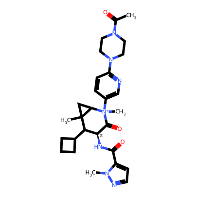 CC(=O)N1CCN(c2ccc([N+]3(C)C(=O)[C@@H](NC(=O)c4ccnn4C)C(C4CCC4)C4(C)CC43)cn2)CC1